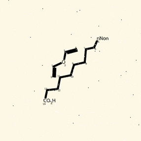 C=COC=C.CCCCCCCCCCCCCCCCCC(=O)O